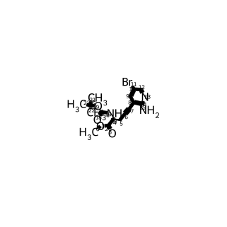 COC(=O)[C@H](CC#Cc1cc(Br)cnc1N)NC(=O)OC(C)(C)C